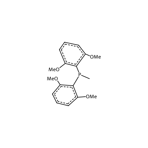 COc1cccc(OC)c1P(C)c1c(OC)cccc1OC